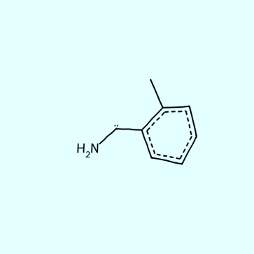 Cc1ccccc1[C]N